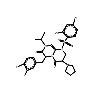 CC(C)N1C=C2N(C(=O)C(N3CCCC3)CN2S(=O)(=O)c2ccc(Cl)cc2Cl)C(Cc2ccc(F)c(F)c2)C1=O